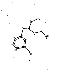 CCN(CCO)Cc1[c]c(F)ccc1